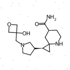 NC(=O)C1CCNC2(C1)C[C@H]2C1CCN(CC2(O)COC2)C1